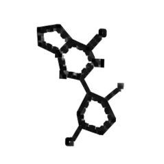 O=c1[nH]c(-c2cc(Cl)ccc2F)nn2cccc12